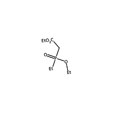 CCOC(=O)CP(=O)(CC)OCC